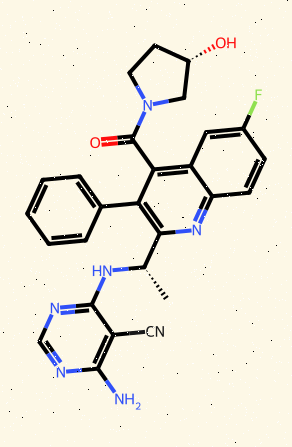 C[C@H](Nc1ncnc(N)c1C#N)c1nc2ccc(F)cc2c(C(=O)N2CC[C@H](O)C2)c1-c1ccccc1